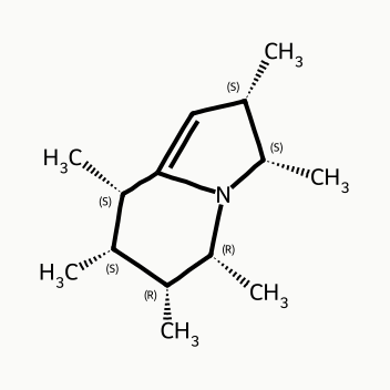 C[C@@H]1[C@H](C)[C@H](C)C2=C[C@H](C)[C@H](C)N2[C@@H]1C